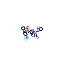 Cc1cc(NC(=O)c2ccccc2-c2ccc(C(F)(F)F)cc2)cnc1NCCc1ccccn1